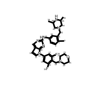 Cc1ccc(Nc2ncc3ccn(-c4cc(F)c(CN5CCOCC5)c(F)c4)c3n2)cc1CN1CC(C)NC(C)C1